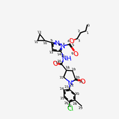 CCCCOC(=O)n1nc(C2CC2)cc1NC(=O)C1CC(=O)N(c2ccc(Cl)c(C)c2)C1